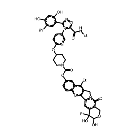 CCNC(=O)c1nnc(-c2cc(C(C)C)c(O)cc2O)n1-c1ccc(OC2CCN(C(=O)Oc3ccc4nc5c(c(CC)c4c3)Cn3c-5cc4c(c3=O)COC(O)C4(O)CC)CC2)nc1